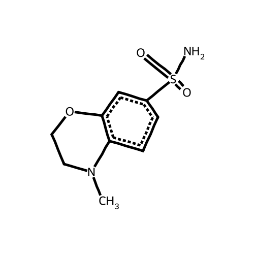 CN1CCOc2cc(S(N)(=O)=O)ccc21